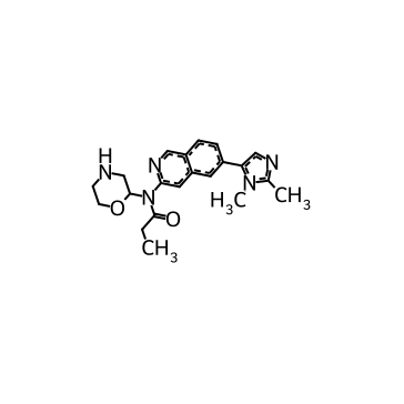 CCC(=O)N(c1cc2cc(-c3cnc(C)n3C)ccc2cn1)C1CNCCO1